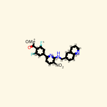 COC(=O)c1c(F)cc(-c2ccc([N+](=O)[O-])c(NCc3ccc4ncccc4c3)n2)cc1F